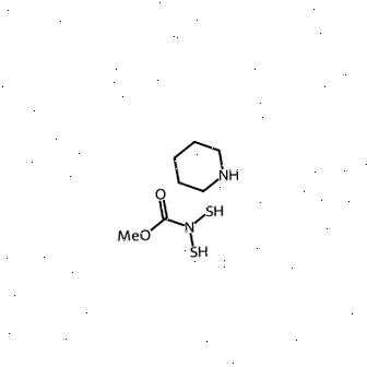 C1CCNCC1.COC(=O)N(S)S